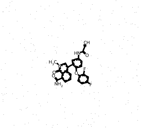 C#CC(=O)Nc1ccc(Oc2ccc(F)cc2F)c(-c2cn(C)c(=O)c3c(C(N)=O)cccc23)c1